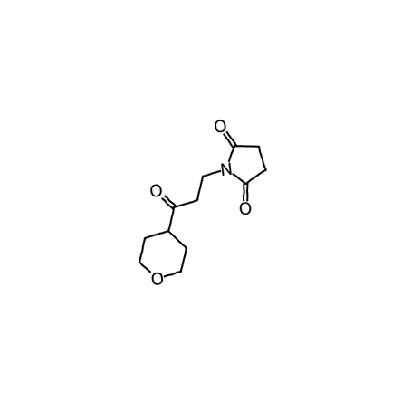 O=C(CCN1C(=O)CCC1=O)C1CCOCC1